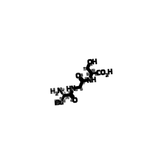 CC[C@H](C)[C@H](N)C(=O)NCC(=O)N[C@@H](CO)C(=O)O